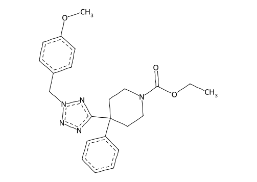 CCOC(=O)N1CCC(c2ccccc2)(c2nnn(Cc3ccc(OC)cc3)n2)CC1